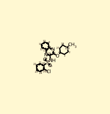 CN1CCC(Oc2nc3ccccc3nc2NS(=O)(=O)c2ccccc2Cl)CC1